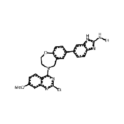 CCNc1nc2ccc(-c3ccc4c(c3)CN(c3nc(CC)nc5cc(OC)ccc35)CCO4)cc2[nH]1